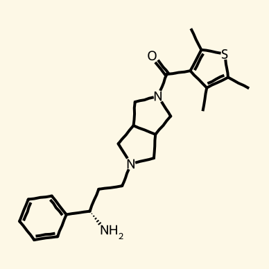 Cc1sc(C)c(C(=O)N2CC3CN(CC[C@H](N)c4ccccc4)CC3C2)c1C